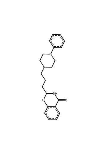 O=C1NC(CCCN2CCN(c3ccccc3)CC2)Oc2ccccc21